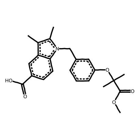 COC(=O)C(C)(C)Oc1cccc(Cn2c(C)c(C)c3cc(C(=O)O)ccc32)c1